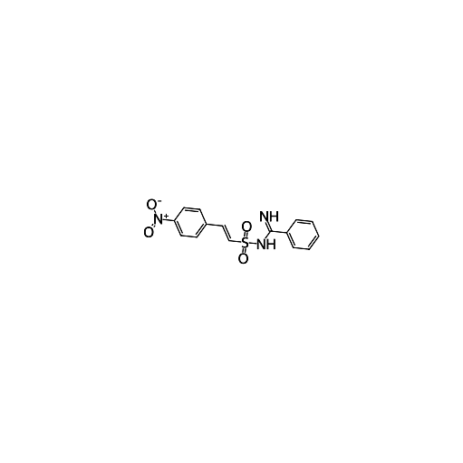 N=C(NS(=O)(=O)/C=C/c1ccc([N+](=O)[O-])cc1)c1ccccc1